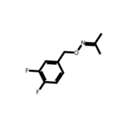 CC(C)=NOCc1ccc(F)c(F)c1